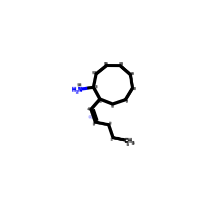 CCC/C=C\C1CCCCCCCC1N